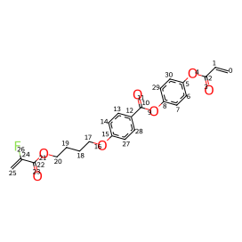 C=CC(=O)Oc1ccc(OC(=O)c2ccc(OCCCCOC(=O)C(=C)F)cc2)cc1